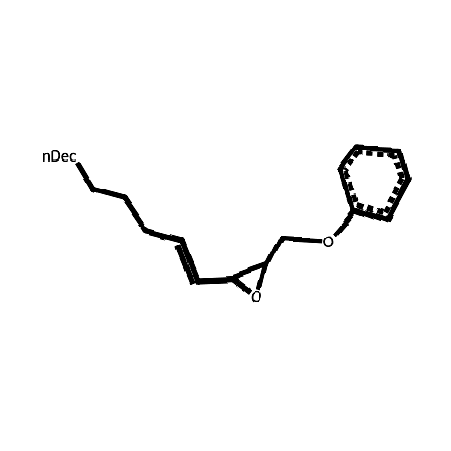 CCCCCCCCCCCCCC=CC1OC1COc1ccccc1